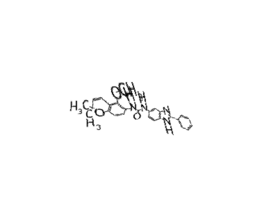 COc1c(NC(=O)Nc2ccc3[nH]c(-c4ccccc4)nc3c2)ccc2c1C=CC(C)(C)O2